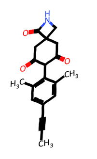 CC#Cc1cc(C)c(C2C(=O)CC3(CNC3=O)CC2=O)c(C)c1